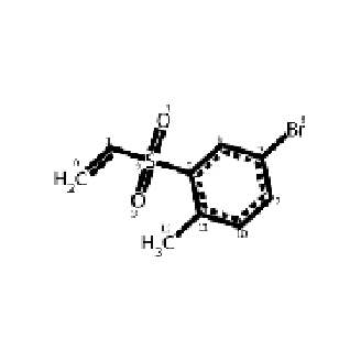 C=CS(=O)(=O)c1cc(Br)ccc1C